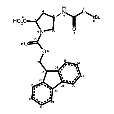 CC(C)(C)OC(=O)N[C@H]1C[C@H](C(=O)O)N(C(=O)OCC2c3ccccc3-c3ccccc32)C1